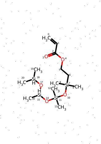 C=CC(=O)OCC[Si](C)(C)O[Si](C)(C)O[SiH](C)O[SiH](C)C